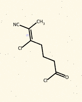 C/C(C#N)=C(/Cl)CCCC(=O)Cl